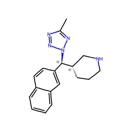 Cc1nnn([C@H](c2ccc3ccccc3c2)[C@H]2CCCNC2)n1